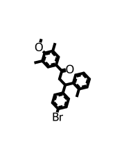 COc1c(C)cc(C(=O)CC(c2ccc(Br)cc2)c2ccccc2C)cc1C